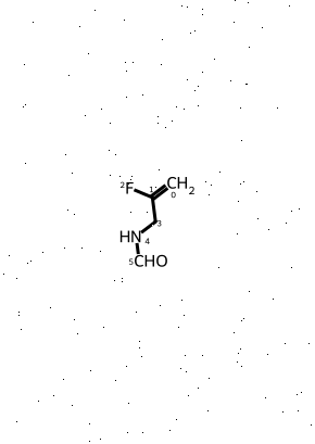 C=C(F)CNC=O